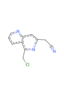 N#CCc1cc2ncccc2c(CCl)n1